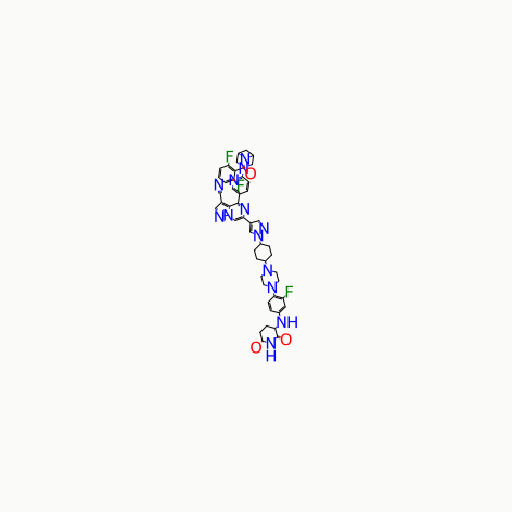 N#Cc1cnn2cc(-c3cnn(C4CCC(N5CCN(c6ccc(NC7CCC(=O)NC7=O)cc6F)CC5)CC4)c3)nc(-c3ccc(N4CC5CC(C4)N5C(=O)c4c(F)cccc4F)nc3)c12